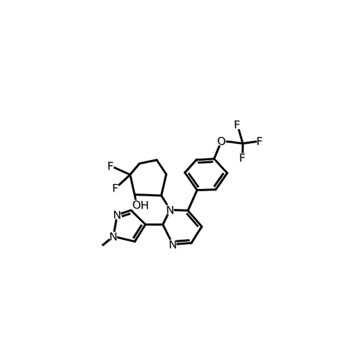 Cn1cc(C2N=CC=C(c3ccc(OC(F)(F)F)cc3)N2C2CCCC(F)(F)C2O)cn1